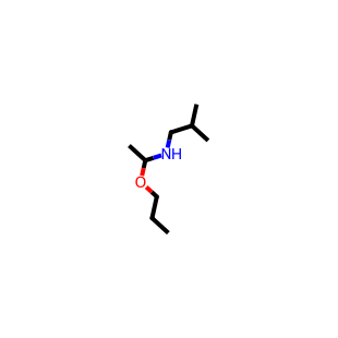 CCCOC(C)NCC(C)C